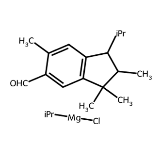 C[CH](C)[Mg][Cl].Cc1cc2c(cc1C=O)C(C)(C)C(C)C2C(C)C